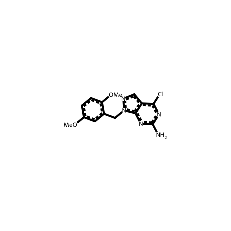 COc1ccc(OC)c(Cn2ncc3c(Cl)nc(N)nc32)c1